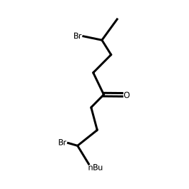 CCCCC(Br)CCC(=O)CCC(C)Br